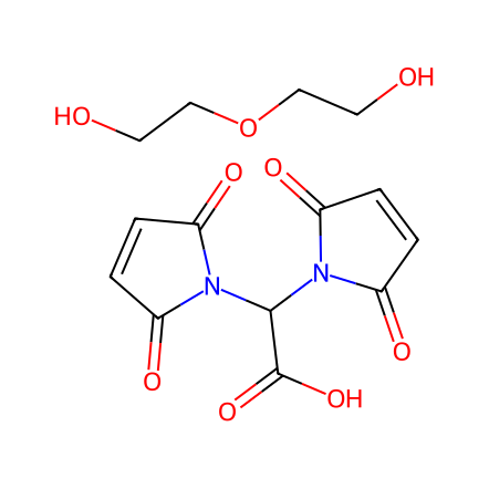 O=C(O)C(N1C(=O)C=CC1=O)N1C(=O)C=CC1=O.OCCOCCO